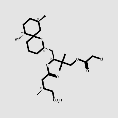 CC(C)[C@@H]1CC[C@@H](C)CC12CCC[C@@H](C[C@H](OC(=O)C[C@@H](C)CC(=O)O)C(C)(C)COC(=O)CCl)O2